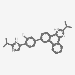 CC(C)c1ncc(-c2ccc(-c3ccc4c(c3)c3ccccc3c3nc(C(C)C)[nH]c43)cc2F)[nH]1